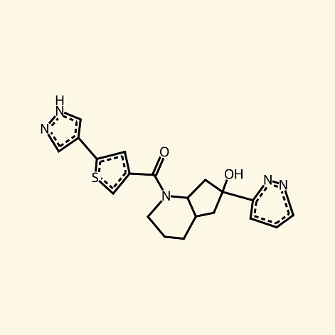 O=C(c1csc(-c2cn[nH]c2)c1)N1CCCC2CC(O)(c3cccnn3)CC21